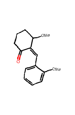 COc1ccccc1/C=C1\C(=O)CCCC1OC